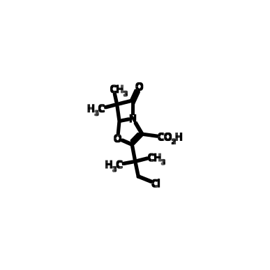 CC(C)(CCl)C1=C(C(=O)O)N2C(=O)C(C)(C)C2O1